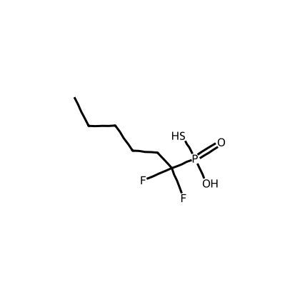 CCCCCC(F)(F)P(=O)(O)S